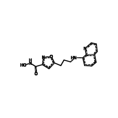 O=C(NO)c1cc(CCCNc2cccc3cccnc23)on1